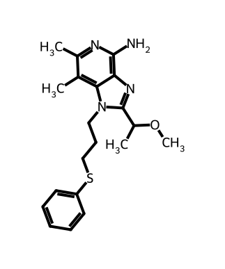 COC(C)c1nc2c(N)nc(C)c(C)c2n1CCCSc1ccccc1